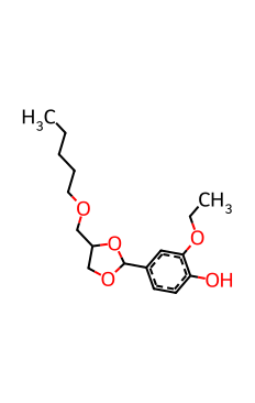 CCCCCOCC1COC(c2ccc(O)c(OCC)c2)O1